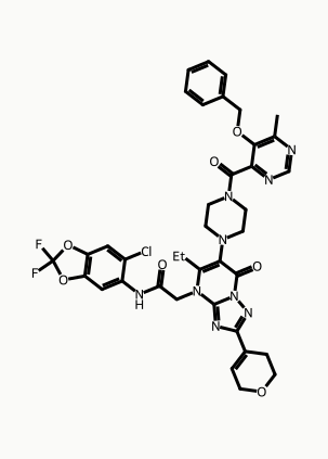 CCc1c(N2CCN(C(=O)c3ncnc(C)c3OCc3ccccc3)CC2)c(=O)n2nc(C3=CCOCC3)nc2n1CC(=O)Nc1cc2c(cc1Cl)OC(F)(F)O2